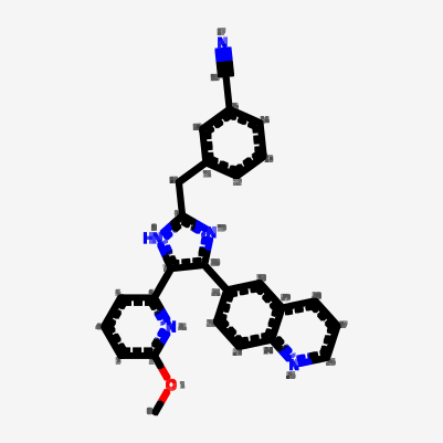 COc1cccc(-c2[nH]c(Cc3cccc(C#N)c3)nc2-c2ccc3ncccc3c2)n1